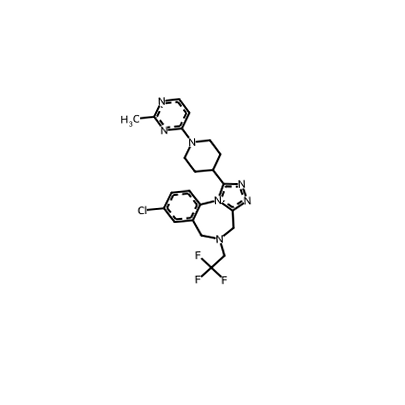 Cc1nccc(N2CCC(c3nnc4n3-c3ccc(Cl)cc3CN(CC(F)(F)F)C4)CC2)n1